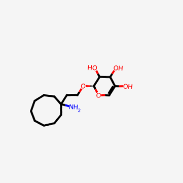 NC1(CCO[C@@H]2OC=C(O)C(O)C2O)CCCCCCCC1